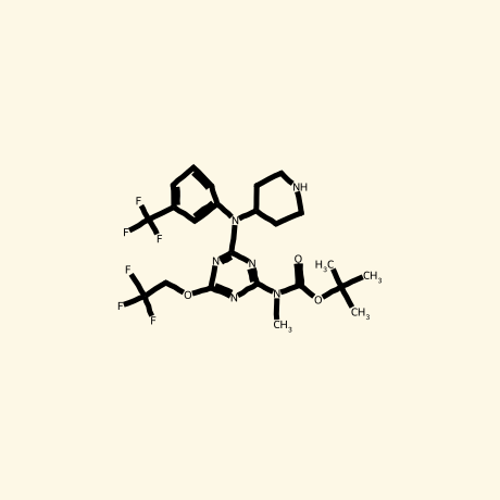 CN(C(=O)OC(C)(C)C)c1nc(OCC(F)(F)F)nc(N(c2cccc(C(F)(F)F)c2)C2CCNCC2)n1